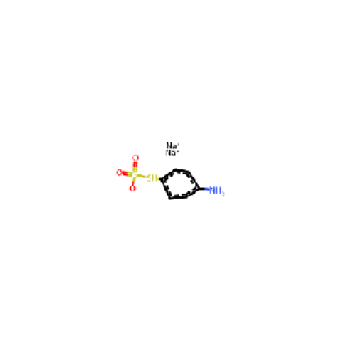 Nc1ccc([SH-]S(=O)(=O)[O-])cc1.[Na+].[Na+]